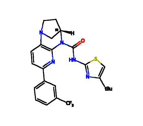 CC(C)(C)c1csc(NC(=O)N2c3nc(-c4cccc(C(F)(F)F)c4)ccc3N3CC[C@H]2C3)n1